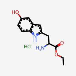 CCOC(=O)C(N)Cc1cc2cc(O)ccc2[nH]1.Cl